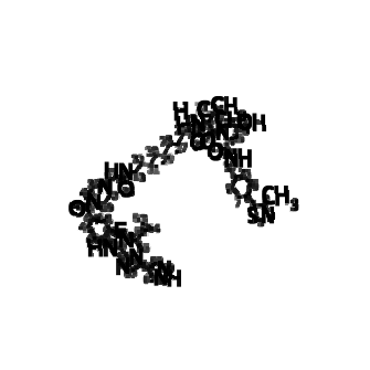 Cc1ncsc1-c1ccc(CNC(=O)[C@H]2C[C@H](O)CN2C(=O)[C@@H](NC(=O)CCCCCCCCNC(=O)CN2CCN(C(=O)c3ccc(Nc4nc(C5CC5)cn5c(-c6cn[nH]c6)cnc45)c(F)c3)CC2)C(C)(C)C)cc1